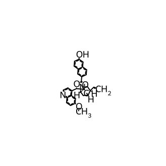 C=C[C@H]1CN2CC[C@H]1C[C@@H]2[C@@H](OC(=O)c1ccc2cc(O)ccc2c1)c1ccnc2ccc(OC)cc12